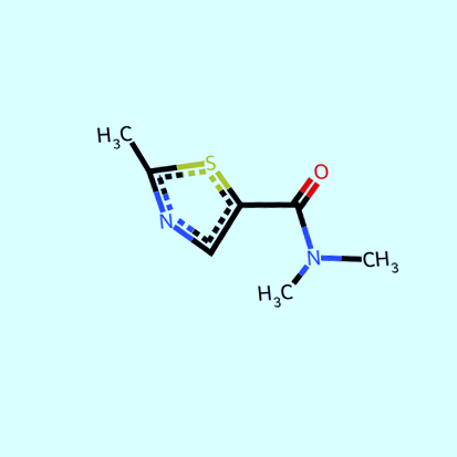 Cc1ncc(C(=O)N(C)C)s1